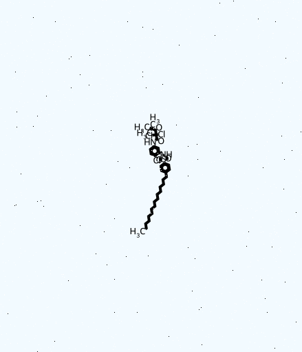 CCCCCCCCCCCCCCCCc1ccc(S(=O)(=O)Nc2cc(NC(=O)C(Cl)(Cl)C(=O)C(C)(C)C)ccc2Cl)cc1